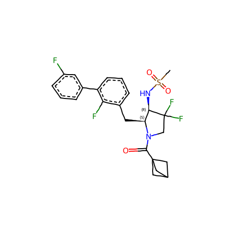 CS(=O)(=O)N[C@@H]1[C@H](Cc2cccc(-c3cccc(F)c3)c2F)N(C(=O)C23CC(C2)C3)CC1(F)F